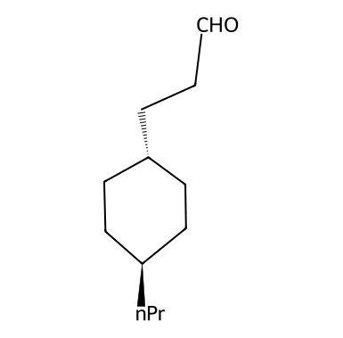 CCC[C@H]1CC[C@H](CCC=O)CC1